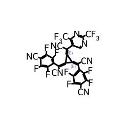 N#CC(=C1C(=C(\C#N)c2cnc(C(F)(F)F)nc2C(F)(F)F)/C1=C(\C#N)c1c(F)c(F)c(C#N)c(F)c1F)c1c(F)c(F)c(C#N)c(F)c1F